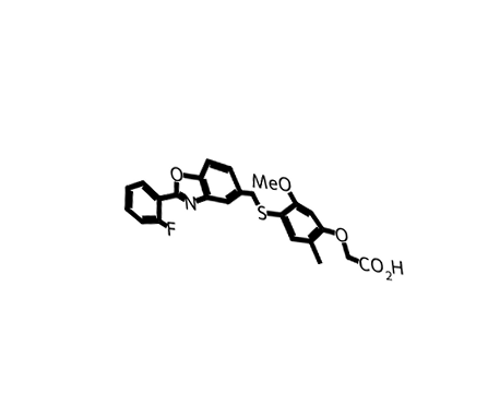 COc1cc(OCC(=O)O)c(C)cc1SCc1ccc2oc(-c3ccccc3F)nc2c1